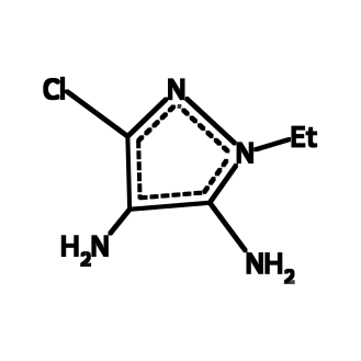 CCn1nc(Cl)c(N)c1N